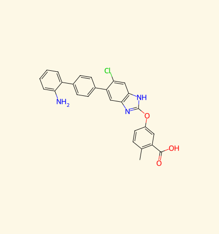 Cc1ccc(Oc2nc3cc(-c4ccc(-c5ccccc5N)cc4)c(Cl)cc3[nH]2)cc1C(=O)O